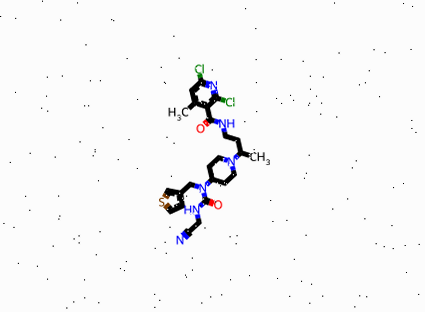 Cc1cc(Cl)nc(Cl)c1C(=O)NCCC(C)N1CCC(N(Cc2ccsc2)C(=O)NCC#N)CC1